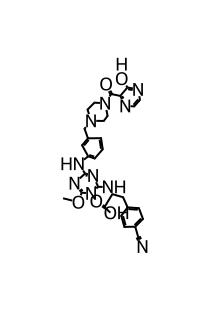 COc1nc(Nc2cccc(CN3CCN(C(=O)c4nccnc4O)CC3)c2)nc(NC(Cc2ccc(C#N)cc2)C(=O)O)n1